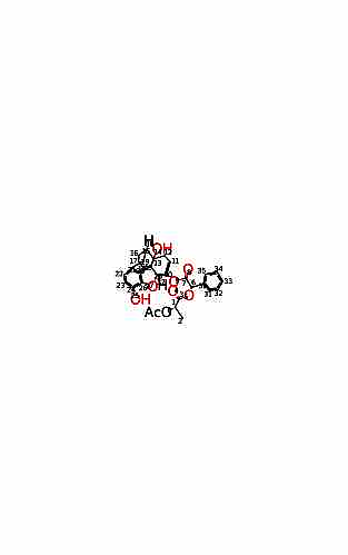 CC(=O)O[C@@H](C)C(=O)O[C@H](C(=O)OC1=CC[C@@]2(O)[C@@H]3CCCC24c2c(ccc(O)c2O[C@@H]14)C3)c1ccccc1